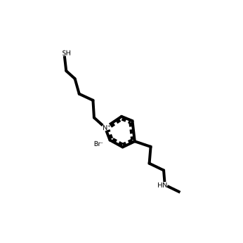 CNCCCc1cc[n+](CCCCCS)cc1.[Br-]